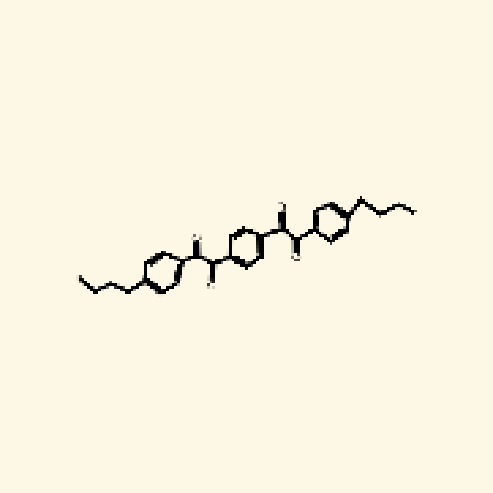 CCCCc1ccc(C(=O)C(=O)c2ccc(C(=O)C(=O)c3ccc(CCCC)cc3)cc2)cc1